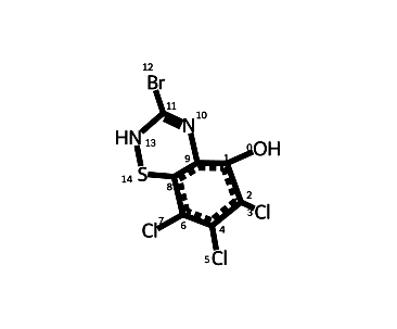 Oc1c(Cl)c(Cl)c(Cl)c2c1N=C(Br)NS2